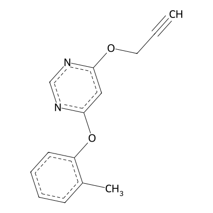 C#CCOc1cc(Oc2ccccc2C)ncn1